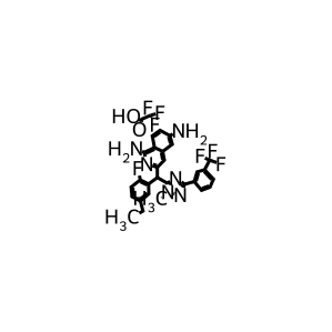 CCc1ccc(F)c(C(c2cc3cc(N)ccc3c(N)n2)c2nc(-c3cccc(C(F)(F)F)c3)nn2C)c1.O=C(O)C(F)(F)F